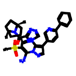 CCCS(=O)(=O)c1c([C@@H]2C[C@H]3CC[C@@H](C2)N3C(=O)c2nnc[nH]2)nc2c(-c3ccc(-c4ccccc4)nc3)cnn2c1N